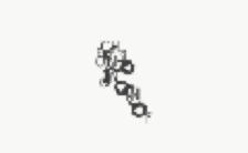 CC(F)(F)C(=O)N[C@H]1CC(=O)N(c2ccc3c(cnn3Cc3ccc(F)cc3)c2)C1c1ccccc1